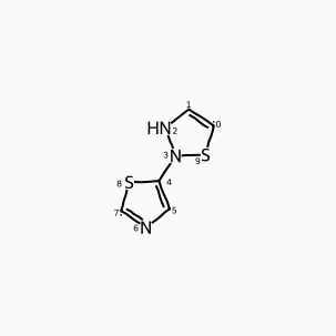 [C]1=CNN(c2cn[c]s2)S1